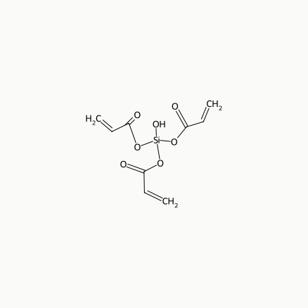 C=CC(=O)O[Si](O)(OC(=O)C=C)OC(=O)C=C